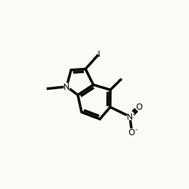 Cc1c([N+](=O)[O-])ccc2c1c(I)cn2C